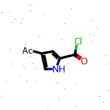 CC(=O)c1c[nH]c(C(=O)Cl)c1